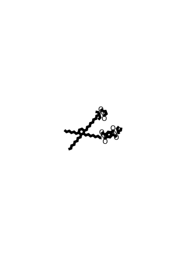 CCCCCCCCC1C(CCCCCC)CCC(CCCCCCCCC(CC)(CC)N2C(=O)C=CC2=O)C1CCCCCCCn1c(=O)c2cc3c(=O)n(C(C)(CC)CC)c(=O)c3cc2c1=O